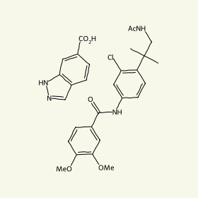 COc1ccc(C(=O)Nc2ccc(C(C)(C)CNC(C)=O)c(Cl)c2)cc1OC.O=C(O)c1ccc2cn[nH]c2c1